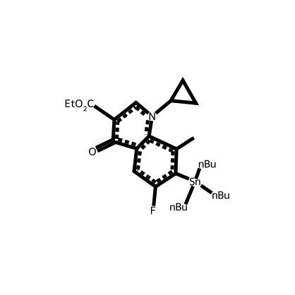 CCC[CH2][Sn]([CH2]CCC)([CH2]CCC)[c]1c(F)cc2c(=O)c(C(=O)OCC)cn(C3CC3)c2c1C